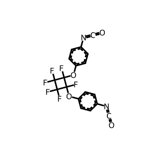 O=C=Nc1ccc(OC2(F)C(F)(F)C(F)(F)C2(F)Oc2ccc(N=C=O)cc2)cc1